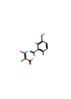 Cc1nc(-c2c(C(F)(F)F)ccc(CN)c2F)[nH]c(=O)c1C